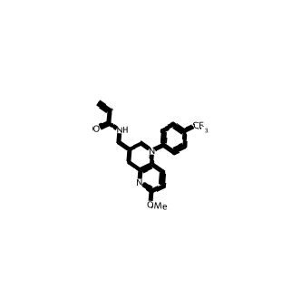 C=CC(=O)NCC1Cc2nc(OC)ccc2N(c2ccc(C(F)(F)F)cc2)C1